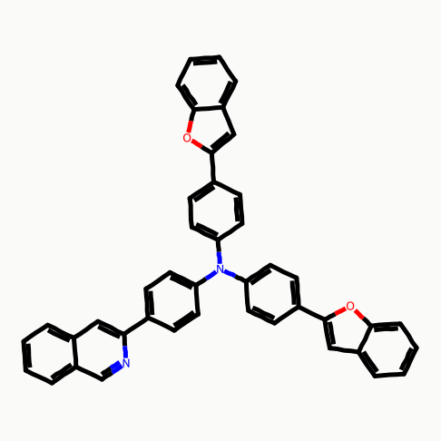 c1ccc2cc(-c3ccc(N(c4ccc(-c5cc6ccccc6o5)cc4)c4ccc(-c5cc6ccccc6o5)cc4)cc3)ncc2c1